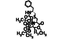 CCOC(=O)[C@H](CSC[C@@H](Cc1ccccc1)NC(=O)OC(C)(C)C)N[C@@H](C)C(=O)OC(C)(C)C